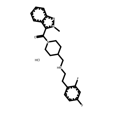 Cl.Cn1nc2ccccc2c1C(=O)N1CCC(CNCCc2ccc(F)cc2F)CC1